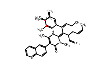 C=CC(C/C=C\C)C(=C1NC(C)=C(c2ccc3ncccc3c2)C(=O)N1C)C(=C\CC)/C(/C=C\C(C)C)=C/C(=C)C(C)CC